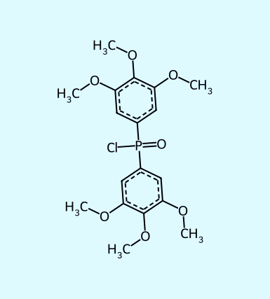 COc1cc(P(=O)(Cl)c2cc(OC)c(OC)c(OC)c2)cc(OC)c1OC